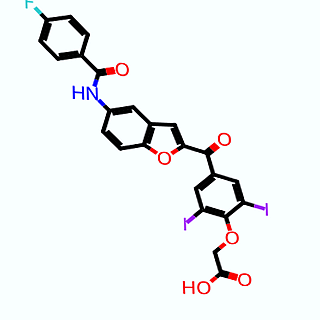 O=C(O)COc1c(I)cc(C(=O)c2cc3cc(NC(=O)c4ccc(F)cc4)ccc3o2)cc1I